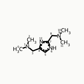 CN(C)Cc1c[nH]c(CN(C)C)n1